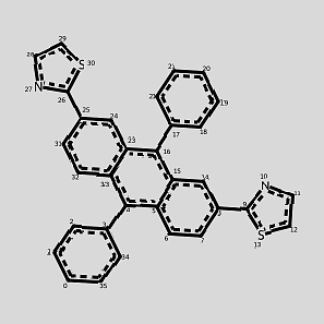 c1ccc(-c2c3ccc(-c4nccs4)cc3c(-c3ccccc3)c3cc(-c4nccs4)ccc23)cc1